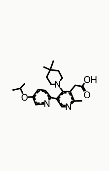 Cc1ncc(-c2ccc(OC(C)C)cn2)c(N2CCC(C)(C)CC2)c1CC(=O)O